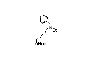 CCCCCCCCCCCCCCN(CC)Cc1ccccc1